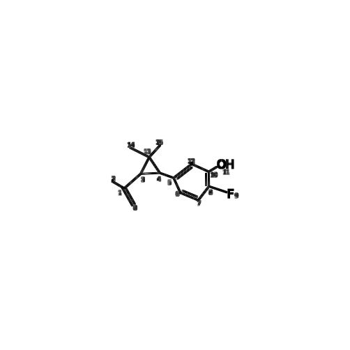 C=C(C)C1C(c2ccc(F)c(O)c2)C1(C)C